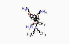 CCCCCN(CCCCC)CCC[C@@H](C)[C@H]1CC[C@H]2C3[C@H](OCCCN)CC4C[C@H](OCCCN)CCC4(C)[C@H]3C[C@H](OCCCN)[C@]12C